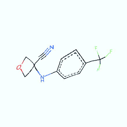 N#CC1(Nc2ccc(C(F)(F)F)cc2)COC1